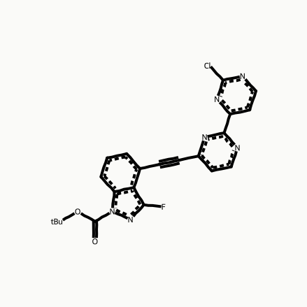 CC(C)(C)OC(=O)n1nc(F)c2c(C#Cc3ccnc(-c4ccnc(Cl)n4)n3)cccc21